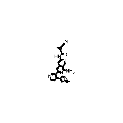 N#CC1CC1C(=O)Nc1cc2cc(-c3cnccc3-c3cn[nH]c3)nc(N)c2cn1